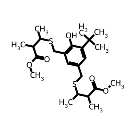 COC(=O)C(C)C(C)SCc1cc(CSC(C)C(C)C(=O)OC)c(O)c(C(C)(C)C)c1